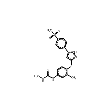 CNC(=O)Nc1ccc(Nc2cc(-c3ccc(S(C)(=O)=O)cc3)[nH]n2)c(C)c1